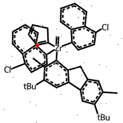 [CH2]=[Zr]([C]1=CC=CC1)([c]1c(C)c(C(C)(C)C)cc2c1Cc1cc(C)c(C(C)(C)C)cc1-2)([c]1ccc(Cl)c2ccccc12)[c]1ccc(Cl)c2ccccc12